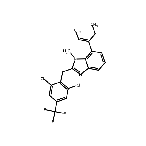 CC=C(CC)c1cccc2nc(Cc3c(Cl)cc(C(F)(F)F)cc3Cl)n(C)c12